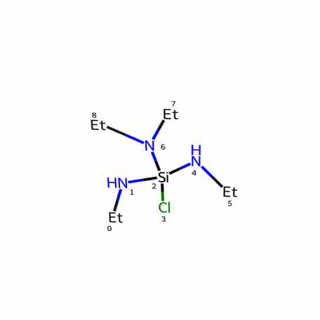 CCN[Si](Cl)(NCC)N(CC)CC